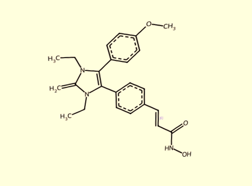 C=C1N(CC)C(c2ccc(/C=C/C(=O)NO)cc2)=C(c2ccc(OC)cc2)N1CC